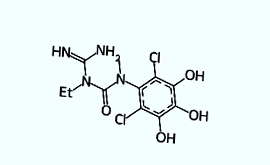 CCN(C(=N)N)C(=O)N(C)c1c(Cl)c(O)c(O)c(O)c1Cl